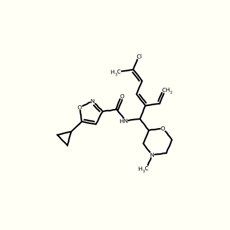 C=C/C(=C\C=C(/C)Cl)C(NC(=O)c1cc(C2CC2)on1)C1CN(C)CCO1